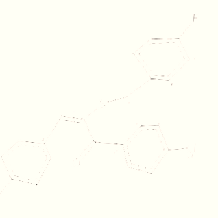 O=C(/C(=C\c1ccc(Cl)cc1)SCc1ccc(F)cc1)c1ccc(Cl)cc1